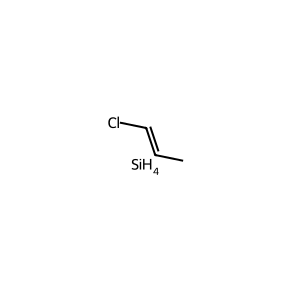 CC=CCl.[SiH4]